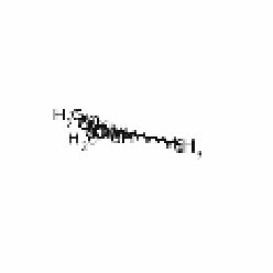 CCCCCCCCCCCCC(O)CN1CCC(C)(OC(=O)OCC)CC1